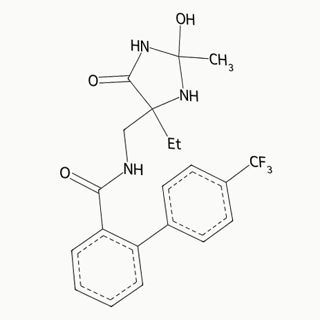 CCC1(CNC(=O)c2ccccc2-c2ccc(C(F)(F)F)cc2)NC(C)(O)NC1=O